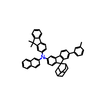 Cc1cccc(-c2ccc3c(c2)C2(c4ccc(N(c5ccc6c(c5)C(C)(C)c5ccccc5-6)c5ccc6ccccc6c5)cc4-3)C3CC4CC(C3)CC2C4)c1